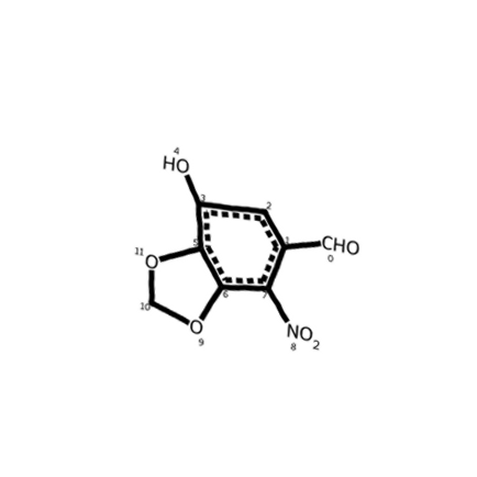 O=Cc1cc(O)c2c(c1[N+](=O)[O-])OCO2